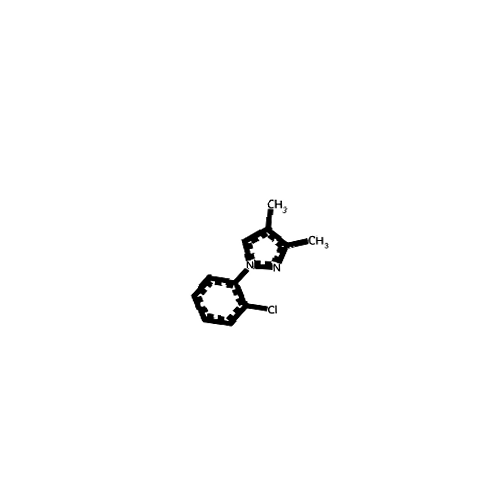 Cc1cn(-c2ccccc2Cl)nc1C